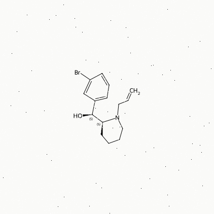 C=CCN1CCCC[C@H]1[C@@H](O)c1cccc(Br)c1